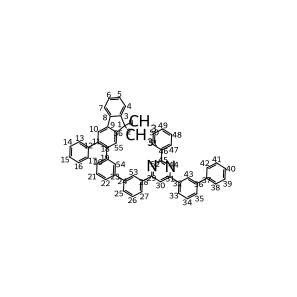 CC1(C)c2ccccc2-c2cc(-c3ccccc3)c(-c3cccc(-c4cccc(-c5cc(-c6cccc(-c7ccccc7)c6)nc(-c6ccccc6)n5)c4)c3)cc21